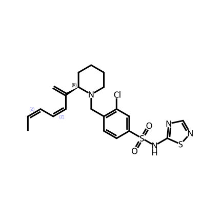 C=C(/C=C\C=C/C)[C@H]1CCCCN1Cc1ccc(S(=O)(=O)Nc2ncns2)cc1Cl